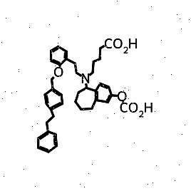 O=C(O)CCCCN(CCc1ccccc1OCc1ccc(CCc2ccccc2)cc1)C1CCCCc2cc(OC(=O)O)ccc21